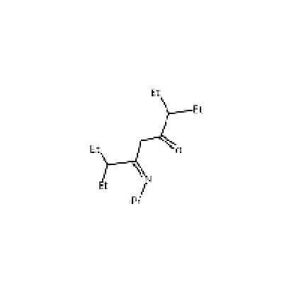 CCC(CC)C(=O)C/C(=N/C(C)C)C(CC)CC